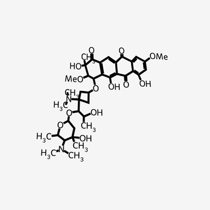 COc1cc(O)c2c(c1)C(=O)c1cc3c(c(O)c1C2=O)C(OC1CC(C(OC2CC(C)(O)C(N(C)C)C(C)O2)C(C)O)(N(C)C)C1)C(OC)C(C)(O)C3=O